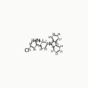 Clc1ccc2[nH]c3cc(-n4c5ccccc5c5ccccc54)ccc3c2c1